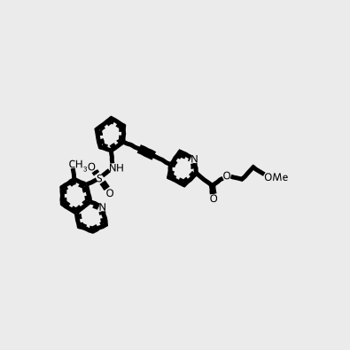 COCCOC(=O)c1ccc(C#Cc2ccccc2NS(=O)(=O)c2c(C)ccc3cccnc23)cn1